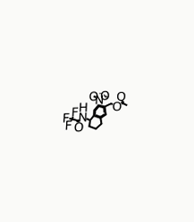 CC(=O)OCc1cc2c(cc1[N+](=O)[O-])C(NC(=O)C(F)(F)F)CCC2